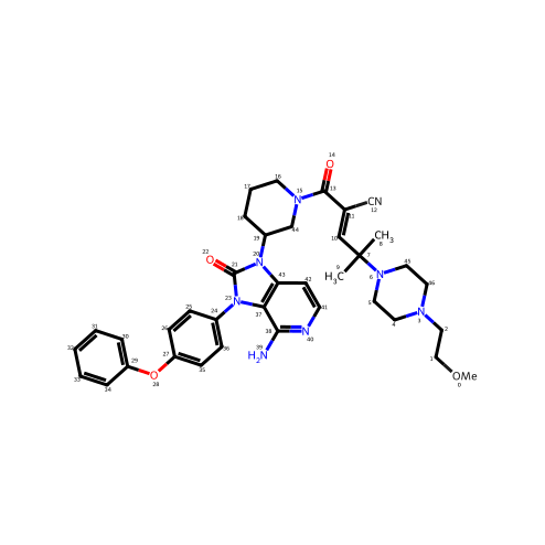 COCCN1CCN(C(C)(C)C=C(C#N)C(=O)N2CCCC(n3c(=O)n(-c4ccc(Oc5ccccc5)cc4)c4c(N)nccc43)C2)CC1